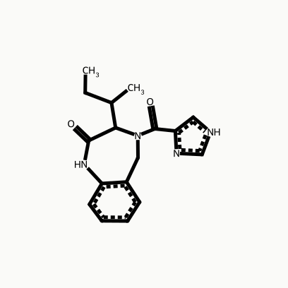 CCC(C)C1C(=O)Nc2ccccc2CN1C(=O)c1c[nH]cn1